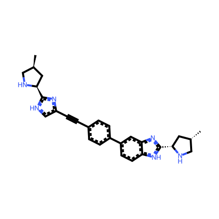 C[C@@H]1CN[C@H](c2nc(C#Cc3ccc(-c4ccc5[nH]c([C@@H]6C[C@H](C)CN6)nc5c4)cc3)c[nH]2)C1